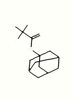 O=C(NC12CC3CC(CC(C3)C1)C2)C(F)(F)F